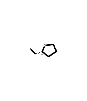 IC[C@H]1CCCO1